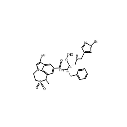 CCCc1cn2c3c(cc(C(=O)N[C@@H](Cc4ccccc4)[C@@H](CNCc4cnn(CC)c4)OC=O)cc13)N(C)S(=O)(=O)CC2